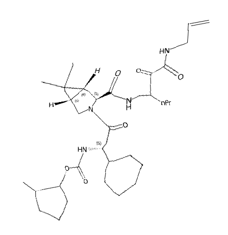 C=CCNC(=O)C(=O)C(CCC)NC(=O)[C@@H]1[C@@H]2[C@H](CN1C(=O)[C@@H](NC(=O)OC1CCCC1C)C1CCCCC1)C2(C)C